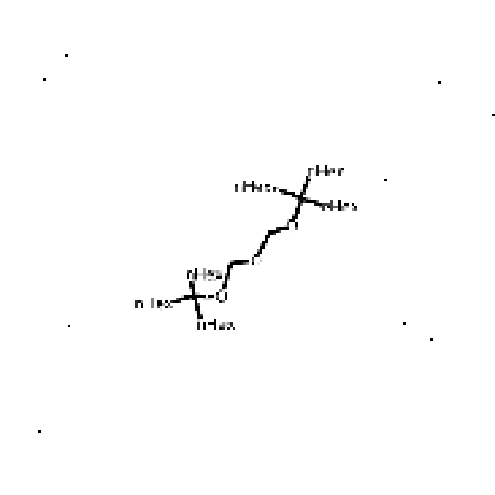 CCCCCCC(CCCCCC)(CCCCCC)OCOCOC(CCCCCC)(CCCCCC)CCCCCC